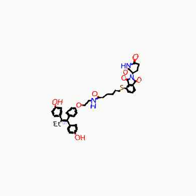 CC/C(=C(\c1ccc(O)cc1)c1ccc(OCCNC(=O)CCCCCSc2cccc3c2C(=O)N(C2CCC(=O)NC2=O)C3=O)cc1)c1ccc(O)cc1